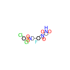 O=C1CCC(N2Cc3cc(C4CCN(S(=O)(=O)c5cc(Cl)ccc5Cl)CC4)c(F)cc3C2=O)C(=O)N1